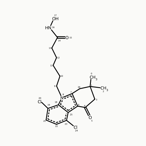 CC1(C)CC(=O)c2c(n(CCCCCC(=O)NO)c3c(Cl)ccc(Cl)c23)C1